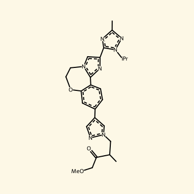 COCC(=O)C(C)Cn1cc(-c2ccc3c(c2)OCCn2cc(-c4nc(C)nn4C(C)C)nc2-3)cn1